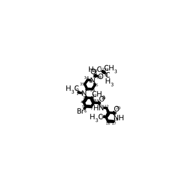 CCN(c1cc(Br)cc(C(=O)NCc2c(C)cc[nH]c2=O)c1C)C1CCN(C(=O)OC(C)(C)C)CC1